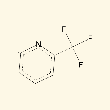 FC(F)(F)c1ccc[c]n1